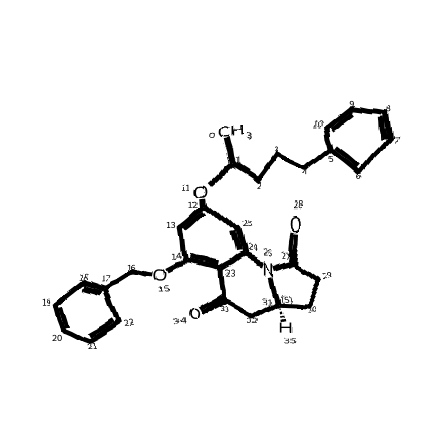 CC(CCCc1ccccc1)Oc1cc(OCc2ccccc2)c2c(c1)N1C(=O)CC[C@H]1CC2=O